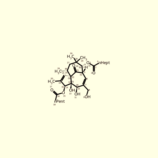 CCCCCCCC(=O)O[C@@H]1[C@@H]2C=C(CO)[C@@H](O)[C@]3(O)[C@@H](OC(=O)CCCCC)C(C)=C[C@@]3(C2=O)[C@H](C)CC1(C)C